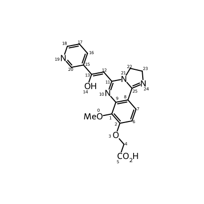 COc1c(OCC(=O)O)ccc2c1N=C(C=C(O)c1cccnc1)N1CCN=C21